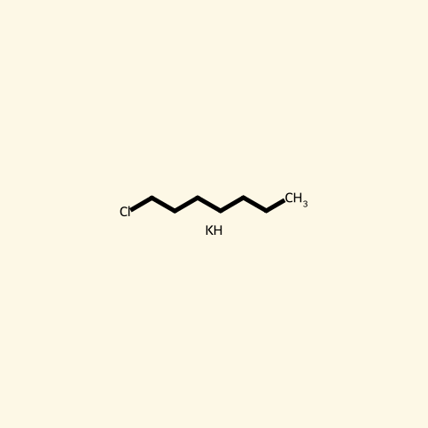 CCCCCCCCl.[KH]